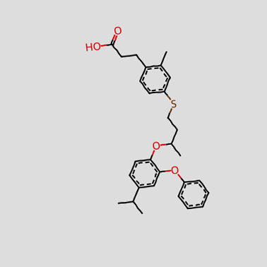 Cc1cc(SCCC(C)Oc2ccc(C(C)C)cc2Oc2ccccc2)ccc1CCC(=O)O